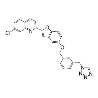 Clc1ccc2ccc(-c3cc4cc(OCc5cccc(Cn6cnnn6)c5)ccc4o3)nc2c1